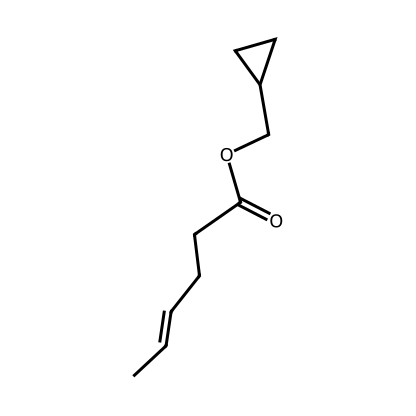 CC=CCCC(=O)OCC1CC1